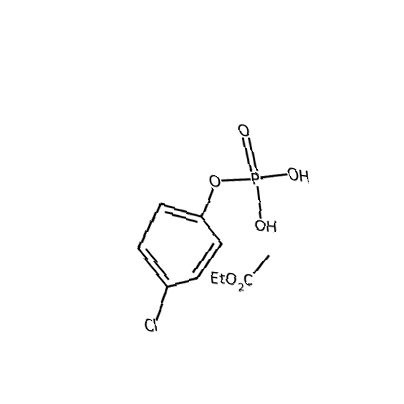 CCOC(C)=O.O=P(O)(O)Oc1ccc(Cl)cc1